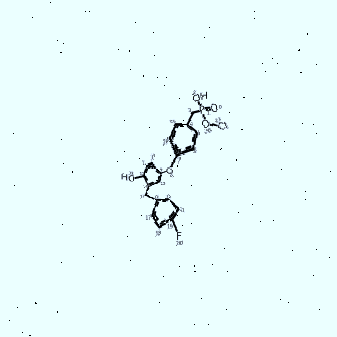 O=P(O)(Cc1ccc(Oc2ccc(O)c(Cc3ccc(F)cc3)c2)cc1)OCl